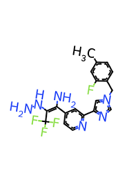 Cc1ccc(Cn2cnc(-c3cc(/C(N)=C(/NN)C(F)(F)F)ccn3)c2)c(F)c1